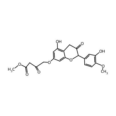 COC(=O)CC(=O)COc1cc(O)c2c(c1)OC(c1ccc(OC)c(O)c1)C(=O)C2